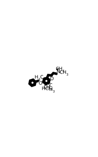 Cc1c(C)c2c(c(C)c1OCc1ccccc1)CC(CCN(C)C)O2.Cl